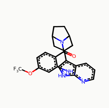 Nc1cc(OC(F)(F)F)ccc1C(=O)N1C2CCC1CC(c1c[nH]c3ncccc13)C2